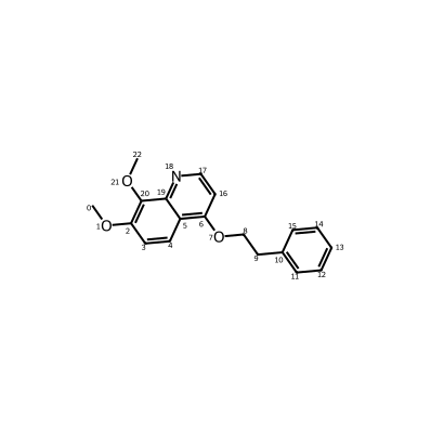 COc1ccc2c(OCCc3ccccc3)ccnc2c1OC